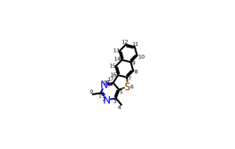 Cc1nc(C)c2sc3cc4ccccc4cc3c2n1